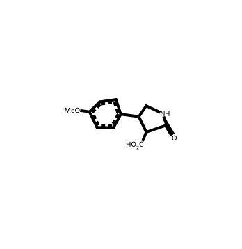 COc1ccc(C2CNC(=O)C2C(=O)O)cc1